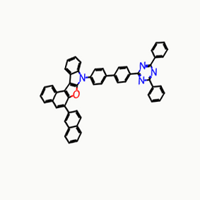 c1ccc(-c2nc(-c3ccccc3)nc(-c3ccc(-c4ccc(-n5c6ccccc6c6c7c(oc65)c(-c5ccc6ccccc6c5)cc5ccccc57)cc4)cc3)n2)cc1